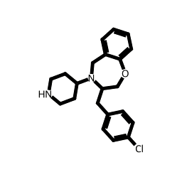 Clc1ccc(CC2COc3ccccc3CN2C2CCNCC2)cc1